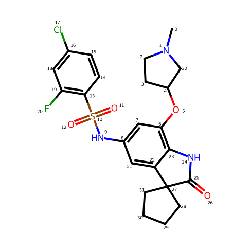 CN1CCC(Oc2cc(NS(=O)(=O)c3ccc(Cl)cc3F)cc3c2NC(=O)C32CCCC2)C1